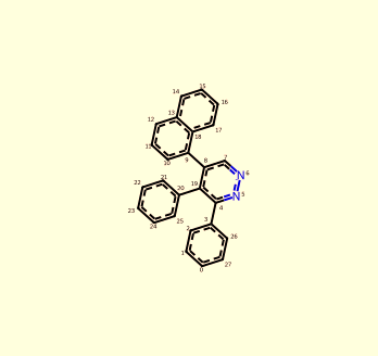 c1ccc(-c2nncc(-c3cccc4ccccc34)c2-c2ccccc2)cc1